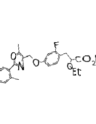 CCOC(Cc1ccc(OCc2nc(-c3ccccc3C)oc2C)cc1F)C(=O)O